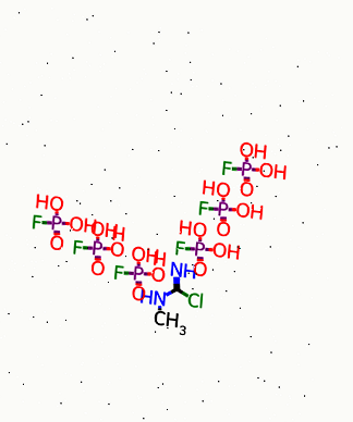 CNC(=N)Cl.O=P(O)(O)F.O=P(O)(O)F.O=P(O)(O)F.O=P(O)(O)F.O=P(O)(O)F.O=P(O)(O)F